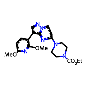 CCOC(=O)N1CCN(c2ccn3ncc(-c4ccc(OC)nc4OC)c3n2)CC1